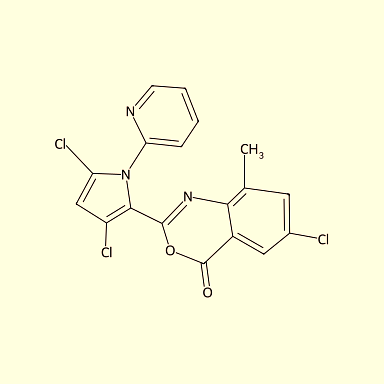 Cc1cc(Cl)cc2c(=O)oc(-c3c(Cl)cc(Cl)n3-c3ccccn3)nc12